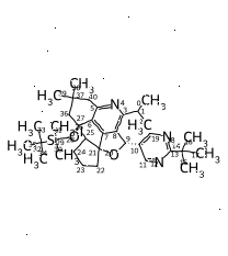 CC(C)c1nc2c(c3c1[C@H](c1cnc(C(C)(C)C)nc1)OC31CCCC1I)[C@@H](O[Si](C)(C)C(C)(C)C)CC(C)(C)C2